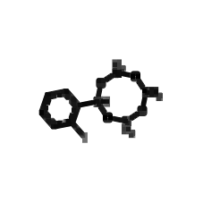 Ic1ccccc1[SiH]1O[SiH2]O[SiH2]O[SiH2]O1